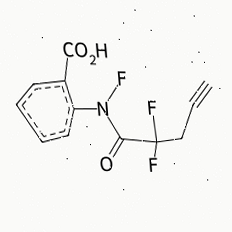 C#CCC(F)(F)C(=O)N(F)c1ccccc1C(=O)O